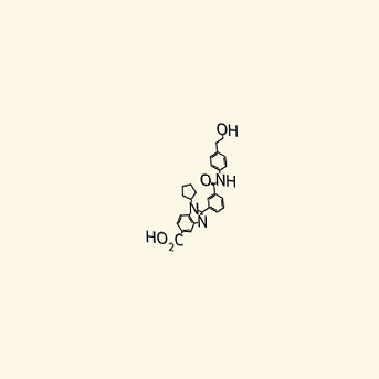 O=C(O)c1ccc2c(c1)nc(-c1cccc(C(=O)Nc3ccc(CCO)cc3)c1)n2C1CCCC1